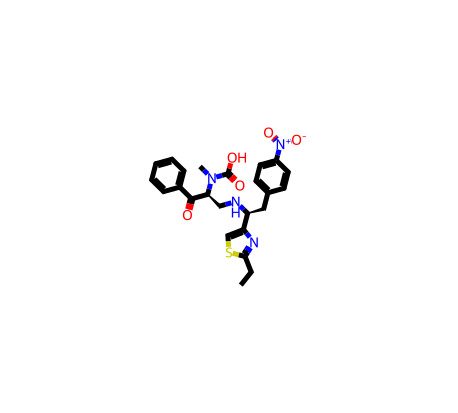 CCc1nc([C@H](Cc2ccc([N+](=O)[O-])cc2)NC[C@@H](C(=O)c2ccccc2)N(C)C(=O)O)cs1